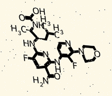 CC(C)C[C@@H](Nc1nc(Nc2ccnc(N3CCOCC3)c2F)c(C(N)=O)cc1F)[C@H](C)NC(=O)O